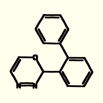 C1=COC(c2ccccc2-c2ccccc2)N=N1